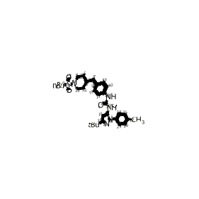 CCCCS(=O)(=O)N1CCC(Cc2ccc(NC(=O)Nc3cc(C(C)(C)C)nn3-c3ccc(C)cc3)cc2)CC1